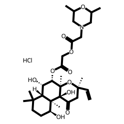 C=C[C@@]1(C)CC(=O)[C@]2(O)[C@@]3(C)[C@@H](O)CCC(C)(C)[C@@H]3[C@H](O)[C@H](OC(=O)COC(=O)CN3CC(C)OC(C)C3)[C@@]2(C)O1.Cl